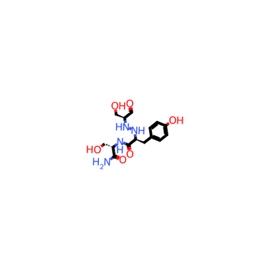 NC(=O)[C@H](CO)NC(=O)[C@H](Cc1ccc(O)cc1)NN[C@H](C=O)CO